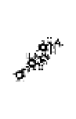 Cc1ccc(C(=O)NC2CC2)cc1-n1ncc(C(=O)c2cccc(OCC3=CCCC=C3)c2)c1N